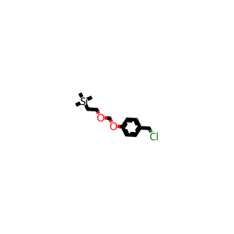 C[Si](C)(C)CCOCOc1ccc(CCl)cc1